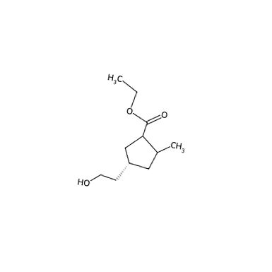 CCOC(=O)C1C[C@@H](CCO)CC1C